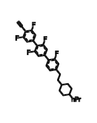 C#Cc1c(F)cc(-c2c(F)cc(-c3ccc(CCC4CCC(CCC)CC4)cc3F)cc2F)cc1F